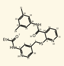 CCC(=O)Nc1cc(CSc2ncccc2C(=O)Nc2cc(C)cc(C)c2)ccn1